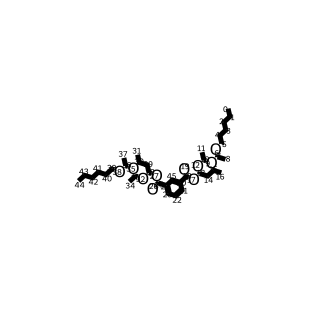 CCCCCCOC(C)OC(C)OC(CCC)OC(=O)c1cccc(C(=O)OC(CCC)OC(C)OC(C)OCCCCCC)c1